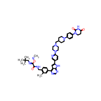 C=NO/C(=N\CC(C)(C)C)C(=O)NCc1ccc(-c2ncnc3[nH]c(-c4ccc(N5CCN(CC6CCN(c7ccc(N8CCC(=O)NC8=O)cc7)CC6)CC5)nc4)cc23)cc1C